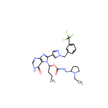 CCCC(OC(=O)NCC1CCCN1CC)n1c(-c2cnn(Cc3cccc(C(F)(F)F)c3)c2)nc2nc[nH]c(=O)c21